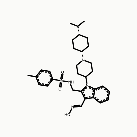 Cc1ccc(S(=O)(=O)NCc2c(/C=N/O)c3ccccc3n2C2CCN([C@H]3CC[C@@H](C(C)C)CC3)CC2)cc1